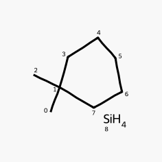 CC1(C)CCCCC1.[SiH4]